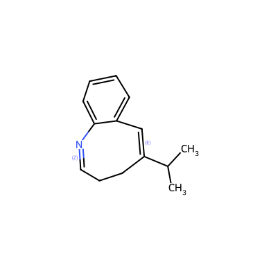 CC(C)/C1=C/c2ccccc2/N=C\CC1